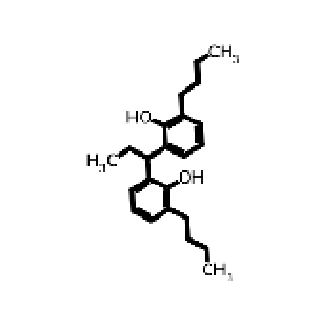 CCCCc1cccc(C(CC)c2cccc(CCCC)c2O)c1O